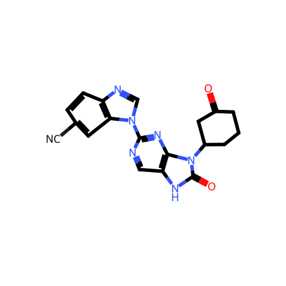 N#Cc1ccc2ncn(-c3ncc4[nH]c(=O)n(C5CCCC(=O)C5)c4n3)c2c1